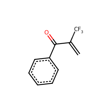 C=C(C(=O)c1ccccc1)C(F)(F)F